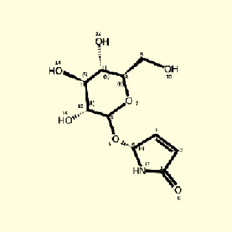 O=C1C=C[C@@H](OC2O[C@H](CO)[C@@H](O)[C@H](O)[C@H]2O)N1